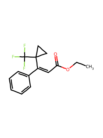 CCOC(=O)/C=C(/c1ccccc1)C1(C(F)(F)F)CC1